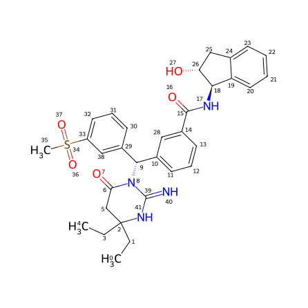 CCC1(CC)CC(=O)N([C@@H](c2cccc(C(=O)N[C@@H]3c4ccccc4C[C@H]3O)c2)c2cccc(S(C)(=O)=O)c2)C(=N)N1